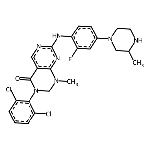 CC1CN(c2ccc(Nc3ncc4c(n3)N(C)CN(c3c(Cl)cccc3Cl)C4=O)c(F)c2)CCN1